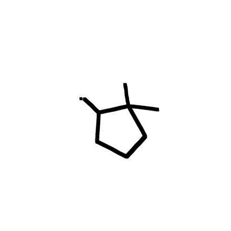 [CH2]C1CCCC1(C)C